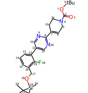 CC(C)(C)OC(=O)N1CC=C(c2ncc(-c3cccc(CO[Si]4(C)CC4(C)C)c3F)cn2)CC1